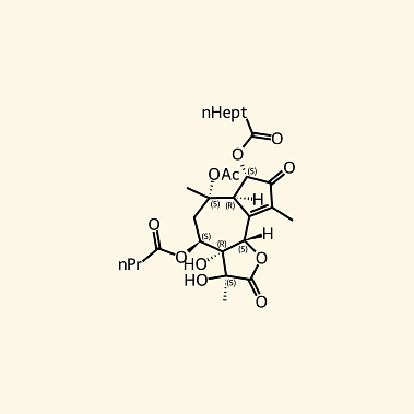 CCCCCCCC(=O)O[C@@H]1C(=O)C(C)=C2[C@H]1[C@@](C)(OC(C)=O)C[C@H](OC(=O)CCC)[C@@]1(O)[C@H]2OC(=O)[C@@]1(C)O